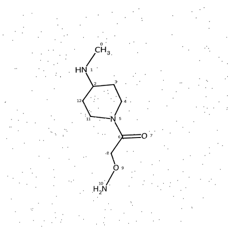 CNC1CCN(C(=O)CON)CC1